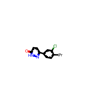 CC(C)c1ccc(-c2ccc(=O)[nH]n2)cc1Cl